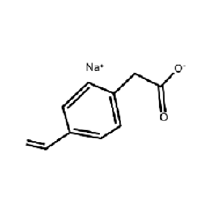 C=Cc1ccc(CC(=O)[O-])cc1.[Na+]